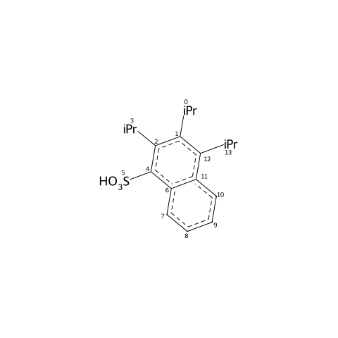 CC(C)c1c(C(C)C)c(S(=O)(=O)O)c2ccccc2c1C(C)C